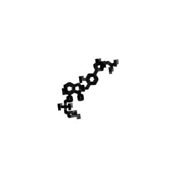 CCC(F)(F)COc1nccc2c1C(=O)N(Cc1ccc(-c3cnn(CC(F)F)c3)cc1F)C2